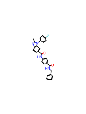 Cc1nc2ccc(C(=O)Nc3ccc(C(=O)NCc4ccccc4)cc3)cc2n1-c1ccc(F)cc1